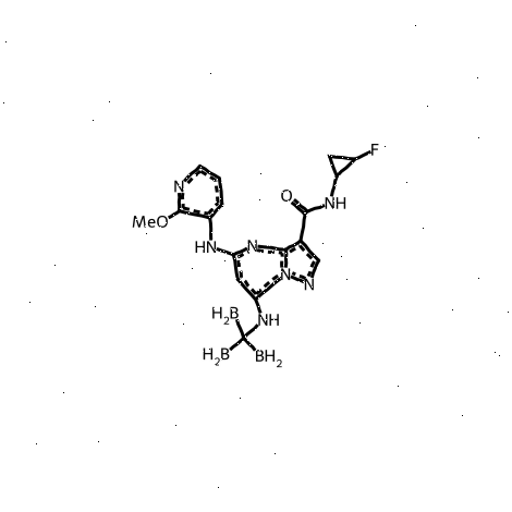 BC(B)(B)Nc1cc(Nc2cccnc2OC)nc2c(C(=O)NC3CC3F)cnn12